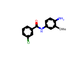 COc1cc(NC(=O)c2cccc(Cl)c2)ccc1N